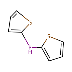 c1csc(Pc2cccs2)c1